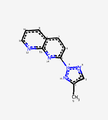 Cc1cnn(-c2ccc3[c]ccnc3n2)n1